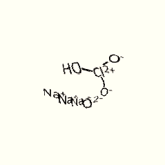 [Na+].[Na+].[Na+].[O-2].[O-][Cl+2]([O-])O